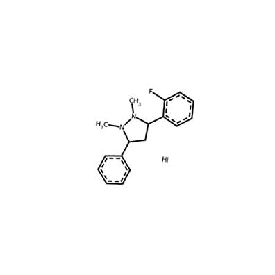 CN1C(c2ccccc2)CC(c2ccccc2F)N1C.I